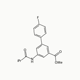 COC(=O)c1cc(NC(=O)C(C)C)cc(-c2ccc(F)cc2)c1